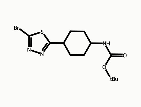 CC(C)(C)OC(=O)NC1CCC(c2nnc(Br)s2)CC1